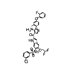 Cc1cc(Oc2ccccc2F)ccc1-n1ncc(C(=O)c2cc3cc(OCC(F)F)c(NS(=O)(=O)c4cccc(Cl)c4)cc3[nH]2)c1N